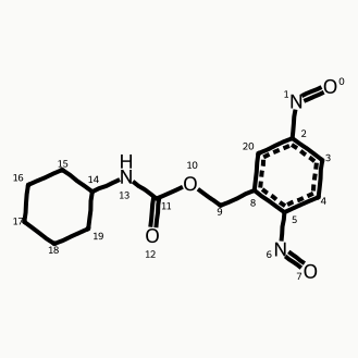 O=Nc1ccc(N=O)c(COC(=O)NC2CCCCC2)c1